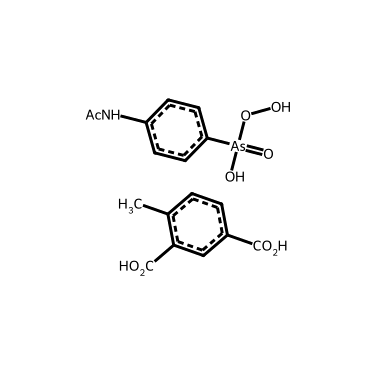 CC(=O)Nc1ccc([As](=O)(O)OO)cc1.Cc1ccc(C(=O)O)cc1C(=O)O